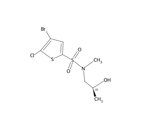 C[C@H](O)CN(C)S(=O)(=O)c1cc(Br)c(Cl)s1